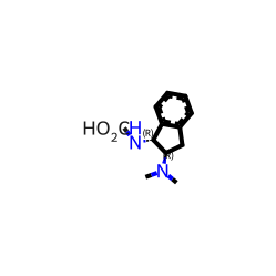 CN(C)[C@@H]1Cc2ccccc2[C@H]1NC(=O)O